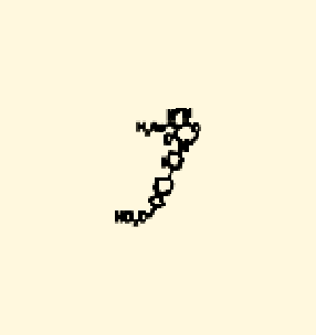 O=C(O)CC1CC2(CCC(c3ccc(N4CCOc5ncnc([AsH2])c5C4=O)cn3)CC2)C1